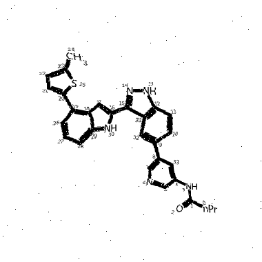 CCCC(=O)Nc1cncc(-c2ccc3[nH]nc(-c4cc5c(-c6ccc(C)s6)cccc5[nH]4)c3c2)c1